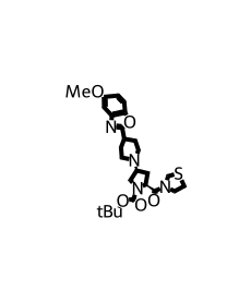 COc1ccc2oc(C3CCN([C@H]4C[C@@H](C(=O)N5CCSC5)N(C(=O)OC(C)(C)C)C4)CC3)nc2c1